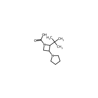 CC(C)(C)C1C(N2CCCC2)CN1C(=O)O